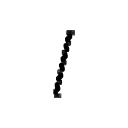 CC(=O)SCCOCCOCCOCCOCCOCCO